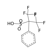 O=S(=O)(O)C(c1ccccc1)(C(F)(F)F)C(F)(F)F